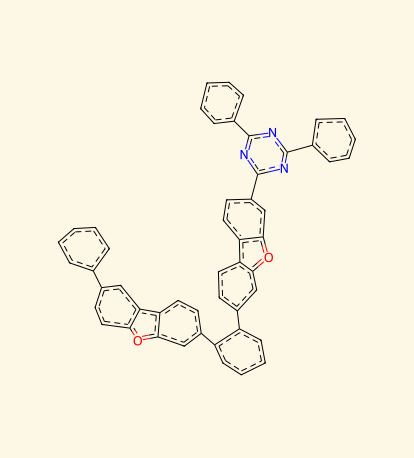 c1ccc(-c2ccc3oc4cc(-c5ccccc5-c5ccc6c(c5)oc5cc(-c7nc(-c8ccccc8)nc(-c8ccccc8)n7)ccc56)ccc4c3c2)cc1